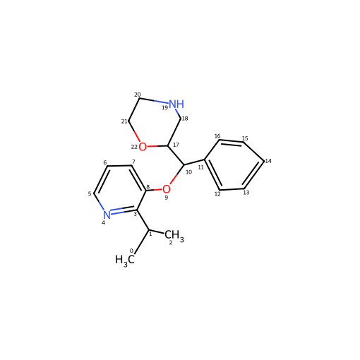 CC(C)c1ncccc1OC(c1ccccc1)C1CNCCO1